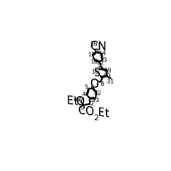 CCOC(=O)C(Cc1ccc(OCc2sc(-c3ccc(C#N)cc3)cc2C)cc1)OCC